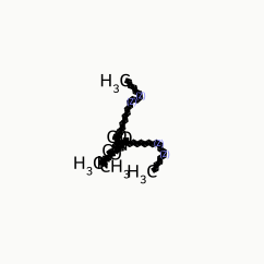 CCCCC/C=C\C/C=C\CCCCCCCCOC(=O)C1CC(OC(=O)CCN(C)C)CN1C(=O)CCCCCCC/C=C\C/C=C\CCCCC